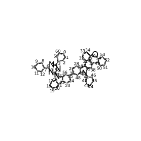 c1ccc(-c2nc(-c3ccccc3)nc(-n3c4ccccc4c4ccc(-c5ccc6c7c8cccc9c8c(cc7n(-c7ccccc7)c6c5)-c5ccccc5O9)cc43)n2)cc1